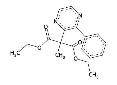 CCOC(=O)C(C)(C(=O)OCC)c1nccnc1-c1ccccc1